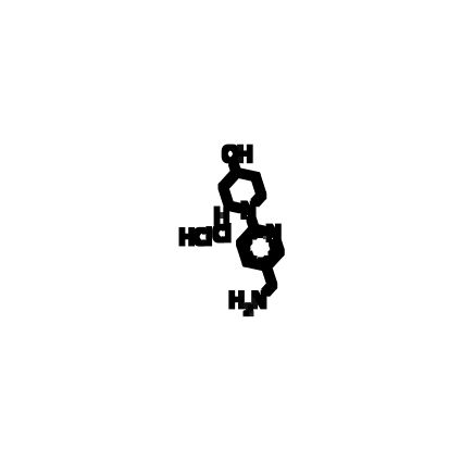 Cl.Cl.NCc1ccc(N2CCC(O)CC2)nc1